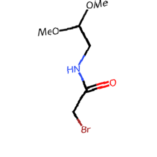 COC(CNC(=O)CBr)OC